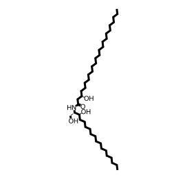 CCCCCCCCCCCCCCCCCCCCC[C@H](O)CC(=O)N[C@@H](CO)[C@H](O)CCCCCCCCCCCCCCC